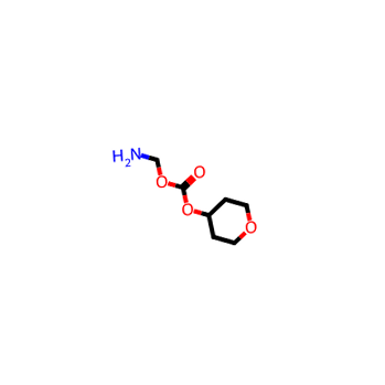 NCOC(=O)OC1CCOCC1